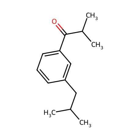 CC(C)Cc1cccc(C(=O)C(C)C)c1